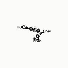 CNC(=O)n1ccc2cc(N(CCCOC)c3ccnc(NC(=O)c4ccc(CCN5CCC(O)CC5)cc4)c3)ccc21